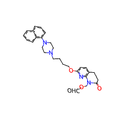 O=COCN1C(=O)CCc2ccc(OCCCCN3CCN(c4cccc5ccccc45)CC3)nc21